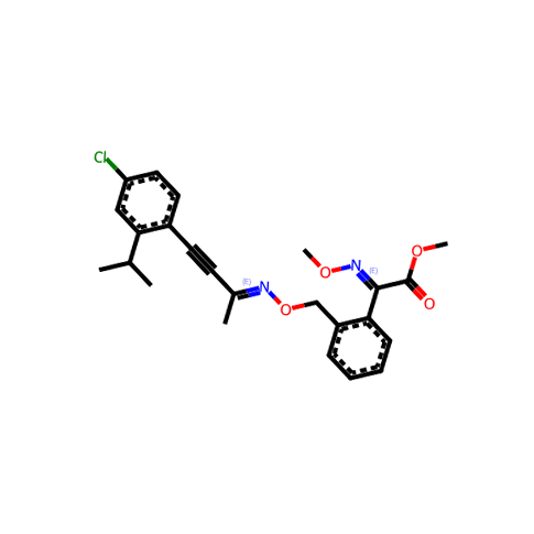 CO/N=C(/C(=O)OC)c1ccccc1CO/N=C(\C)C#Cc1ccc(Cl)cc1C(C)C